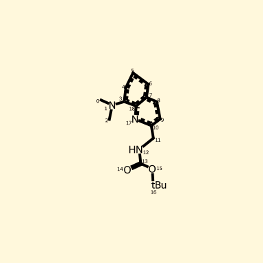 CN(C)c1cccc2ccc(CNC(=O)OC(C)(C)C)nc12